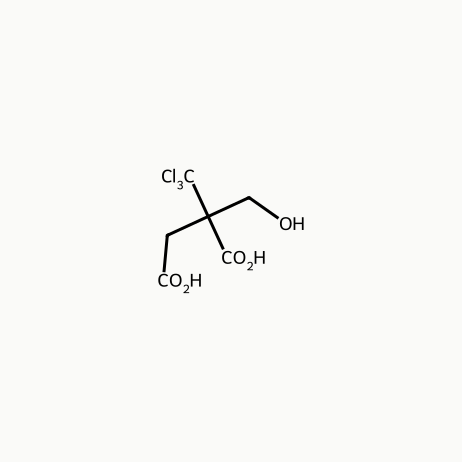 O=C(O)CC(CO)(C(=O)O)C(Cl)(Cl)Cl